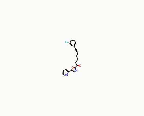 O=C(CCCCC#Cc1cccc(F)c1)c1ncc(-c2ccccn2)o1